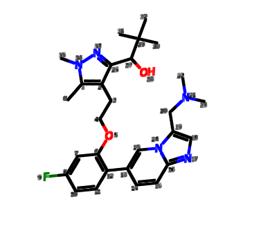 Cc1c(CCOc2cc(F)ccc2-c2ccc3ncc(CN(C)C)n3c2)c(C(O)C(C)(C)C)nn1C